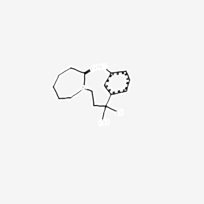 CCC(O)(CCN1CCCCCC1=O)c1cccc(O)c1